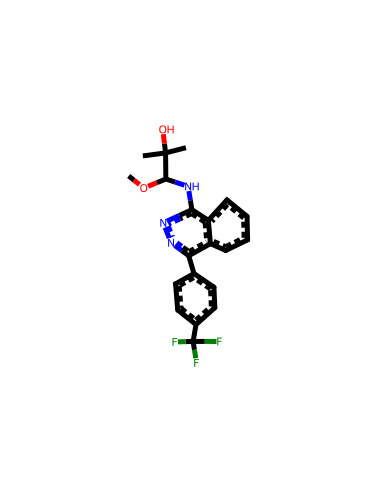 COC(Nc1nnc(-c2ccc(C(F)(F)F)cc2)c2ccccc12)C(C)(C)O